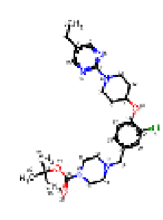 CCc1cnc(N2CCC(Oc3ccc(CN4CCN(C(=O)OC(C)(C)C)CC4)cc3Cl)CC2)nc1